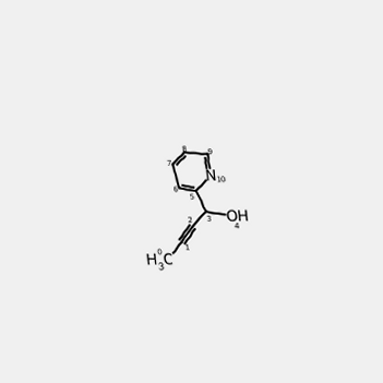 CC#CC(O)c1ccccn1